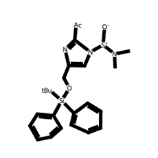 CC(=O)c1nc(CO[Si](c2ccccc2)(c2ccccc2)C(C)(C)C)cn1[S+]([O-])N(C)C